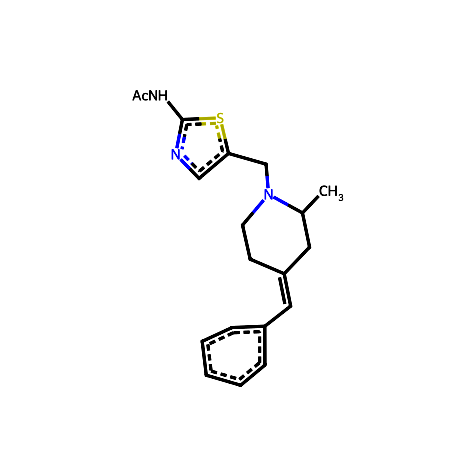 CC(=O)Nc1ncc(CN2CC/C(=C\c3ccccc3)CC2C)s1